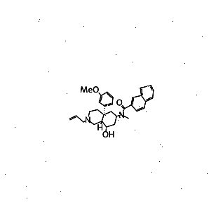 C=CCN1CC[C@@]2(c3cccc(OC)c3)C[C@@H](N(C)C(=O)c3ccc4ccccc4c3)CC(O)[C@@H]2C1